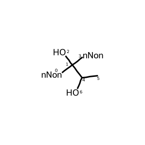 CCCCCCCCCC(O)(CCCCCCCCC)C(C)O